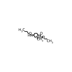 CCCCON[C@@H]1CC[C@@H](C(=O)NOCCC)N(C)C1